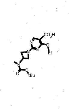 CCOc1nc(N2CC(N(C)C(=O)OC(C)(C)C)C2)ncc1C(=O)O